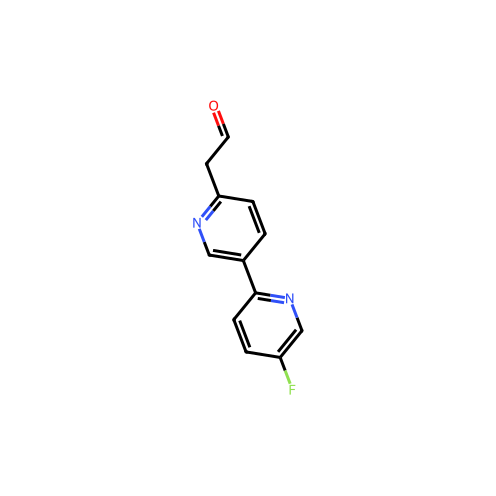 O=CCc1ccc(-c2ccc(F)cn2)cn1